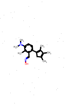 CC1=C(C)C(C)=C(c2ccc(N(C)C)c(C)c2/C=N/O)C1